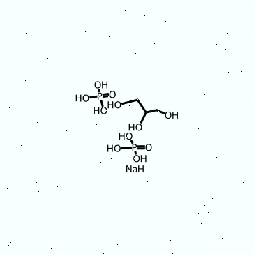 O=P(O)(O)O.O=P(O)(O)O.OCC(O)CO.[NaH]